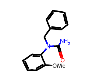 COc1ccccc1N(Cc1ccccc1)C(N)=O